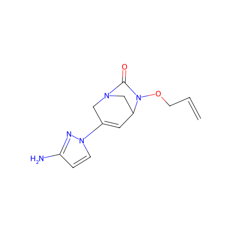 C=CCON1C(=O)N2CC(n3ccc(N)n3)=CC1C2